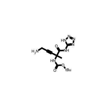 CC(C)(C)OC(=O)NC(C)(C#CCN)C(=O)Nc1nnn[nH]1